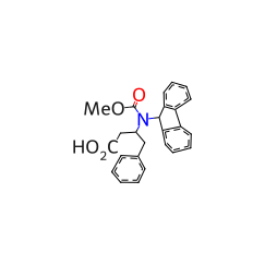 COC(=O)N(C(CC(=O)O)Cc1ccccc1)C1c2ccccc2-c2ccccc21